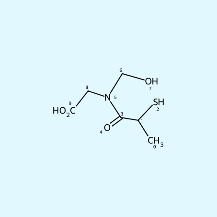 CC(S)C(=O)N(CO)CC(=O)O